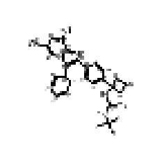 CC(C)(C)OC(=O)NC1(c2ccc(-c3nc4c(Cl)cc(Cl)cn4c3C3C=CC=CC3)cc2)CCC1